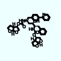 O=C(N[C@@H](Cc1ccccc1)[C@@H](O)CN(Cc1ccc(-c2ccccn2)cc1)NC(=O)O[C@H]1CO[C@H]2OCC[C@H]21)O[C@H]1CO[C@H]2OCC[C@H]21